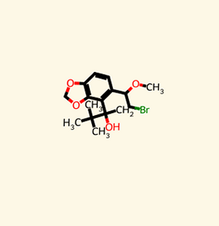 [CH2]C(O)(c1c(C(CBr)OC)ccc2c1OCO2)C(C)(C)C